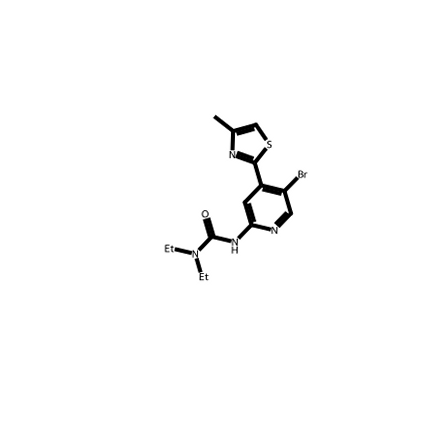 CCN(CC)C(=O)Nc1cc(-c2nc(C)cs2)c(Br)cn1